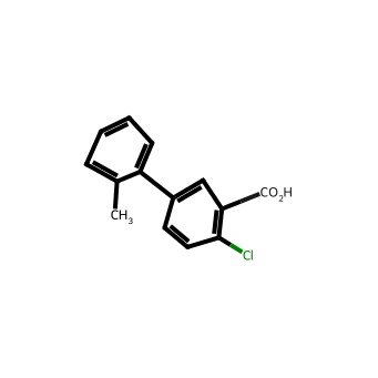 Cc1ccccc1-c1ccc(Cl)c(C(=O)O)c1